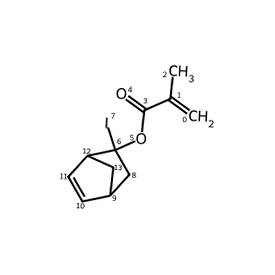 C=C(C)C(=O)OC1(I)CC2C=CC1C2